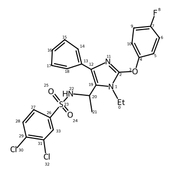 CCn1c(Oc2ccc(F)cc2)nc(-c2ccccc2)c1C(C)NS(=O)(=O)c1ccc(Cl)c(Cl)c1